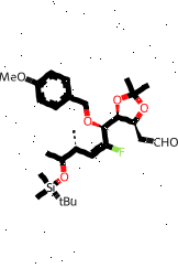 COc1ccc(CO[C@H](/C(F)=C\[C@@H](C)C(C)O[Si](C)(C)C(C)(C)C)[C@H]2OC(C)(C)O[C@H]2CC=O)cc1